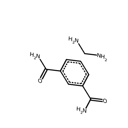 NC(=O)c1cccc(C(N)=O)c1.NCN